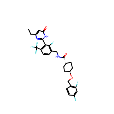 CCc1cc(=O)[nH]c(-c2c(C(F)(F)F)ccc(CNC(=O)[C@H]3CC[C@H](OCc4ccc(F)cc4F)CC3)c2F)n1